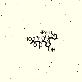 CCCC(C)N1CCCC1C(=O)N1CC(O)CC1C(=O)NCC(=O)C(C)(O)CCC